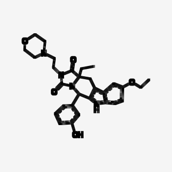 CCOc1ccc2[nH]c3c(c2c1)CC1(CC)C(=O)N(CCN2CCOCC2)C(=O)N1C3c1cccc(O)c1